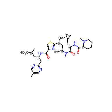 CC(=O)O[C@H](C[C@H](C(C)C)N(C)C(=O)[C@H](CC1CC1)NC(=O)[C@H]1CCCCN1C)c1nc(C(=O)N[C@@H](Cc2ncc(C)cn2)C[C@H](C)C(=O)O)cs1